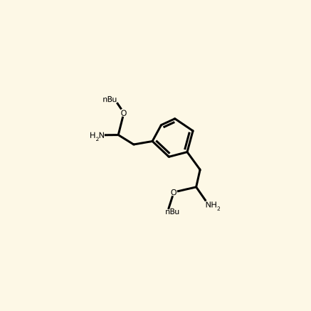 CCCCOC(N)Cc1cccc(CC(N)OCCCC)c1